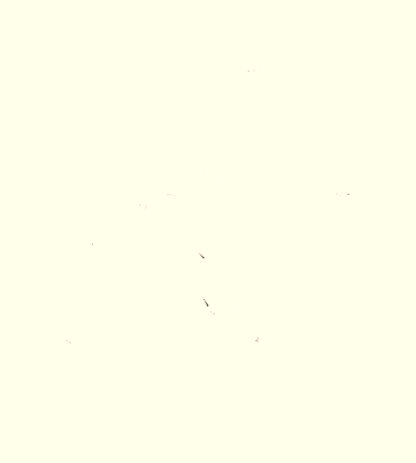 COc1ccc(C(O[C@@H](CC#N)[C@H]2O[C@@H](n3cc(C)c(=O)[nH]c3=O)C[C@@H]2OP(OCCC#N)N(C(C)C)C(C)C)(c2ccccc2)c2ccc(OC)cc2)cc1